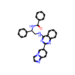 O=C(NC(CNc1nc(-c2ccc3nccn3c2)nc2ccccc12)c1ccccc1)c1ccccc1